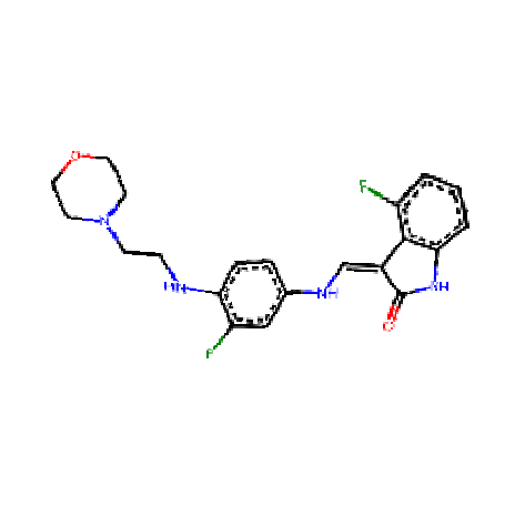 O=C1Nc2cccc(F)c2C1=CNc1ccc(NCCN2CCOCC2)c(F)c1